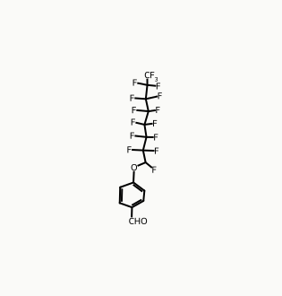 O=Cc1ccc(OC(F)C(F)(F)C(F)(F)C(F)(F)C(F)(F)C(F)(F)C(F)(F)C(F)(F)F)cc1